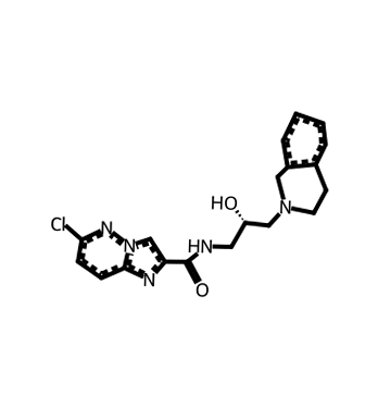 O=C(NC[C@H](O)CN1CCc2ccccc2C1)c1cn2nc(Cl)ccc2n1